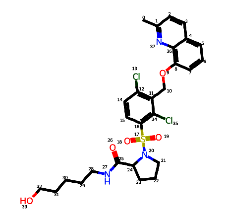 Cc1ccc2cccc(OCc3c(Cl)ccc(S(=O)(=O)N4CCCC4C(=O)NCCCCCO)c3Cl)c2n1